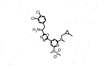 CC1CC1CN(C)c1cc(-c2nnc(C(N)Cc3ccc(Cl)c(Cl)c3)o2)cc(N(C)S(C)(=O)=O)n1